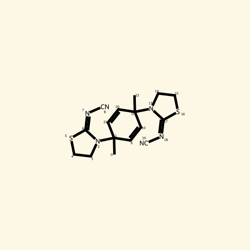 CC1(N2CCS/C2=N/C#N)C=CC(C)(N2CCS/C2=N/C#N)C=C1